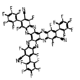 N#Cc1c(-c2c(F)c(F)c(F)c(F)c2F)c(F)c2nc3c4nc5c(F)c(C#N)c(-c6c(F)c(F)c(F)c(F)c6F)c(F)c5nc4c4nc5c(F)c(C#N)c(-c6c(F)c(F)c(F)c(F)c6F)c(F)c5nc4c3nc2c1F